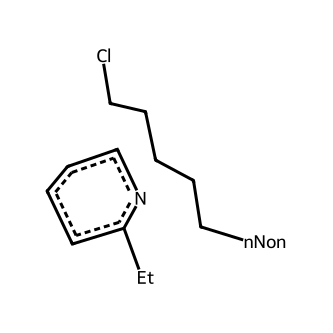 CCCCCCCCCCCCCCCl.CCc1ccccn1